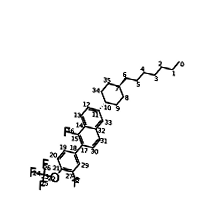 CCCCCCC[C@H]1CC[C@H](c2ccc3c(F)c(-c4ccc(OC(F)(F)F)c(F)c4)ccc3c2)CC1